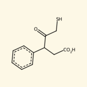 O=C(O)CC(C(=O)CS)c1ccccc1